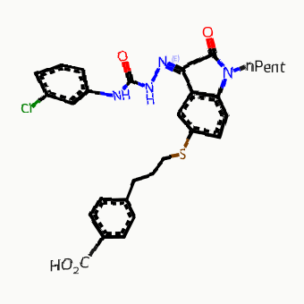 CCCCCN1C(=O)/C(=N/NC(=O)Nc2cccc(Cl)c2)c2cc(SCCCc3ccc(C(=O)O)cc3)ccc21